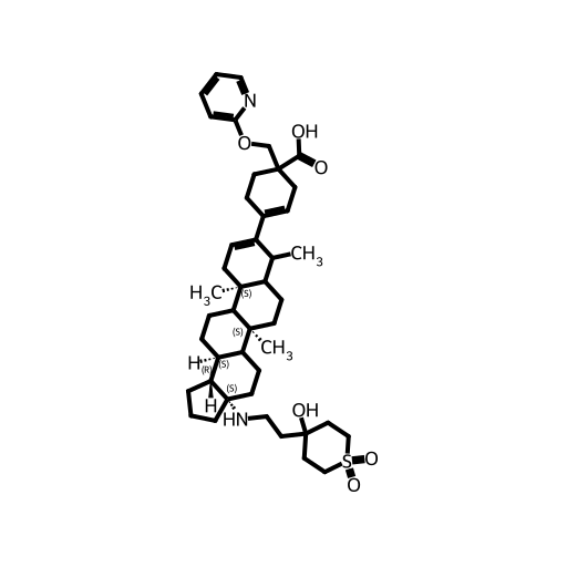 CC1C(C2=CCC(COc3ccccn3)(C(=O)O)CC2)=CC[C@@]2(C)C1CC[C@@]1(C)C3CC[C@@]4(NCCC5(O)CCS(=O)(=O)CC5)CCC[C@@H]4[C@H]3CCC21